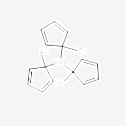 CC(C)[C]1([Gd]([C]2(C(C)C)C=CC=C2)[C]2(C(C)C)C=CC=C2)C=CC=C1